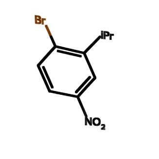 CC(C)c1cc([N+](=O)[O-])ccc1Br